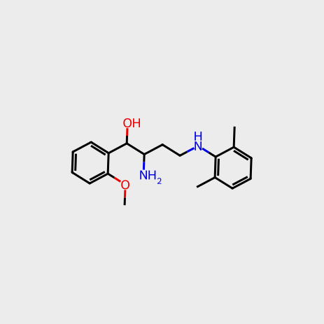 COc1ccccc1C(O)C(N)CCNc1c(C)cccc1C